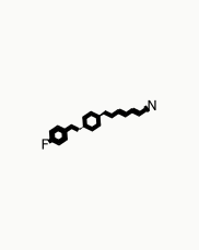 N#C/C=C/C=C/CC[C@H]1CC[C@H](CCc2ccc(F)cc2)CC1